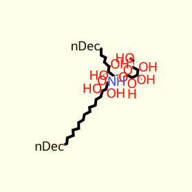 CCCCCCCCCCCCCCCCCCCCCCC[C@@H](O)[C@@H](O)C(=O)N[C@@H](CO[C@H]1O[C@H](CO)[C@H](O)[C@H](O)[C@H]1O)[C@H](O)[C@H](O)CCCCCCCCCCCCCC